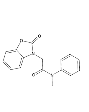 CN(C(=O)Cn1c(=O)oc2ccccc21)c1ccccc1